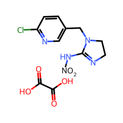 O=C(O)C(=O)O.O=[N+]([O-])NC1=NCCN1Cc1ccc(Cl)nc1